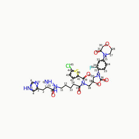 N[C@@H](Cc1c[nH]cn1)C(=O)NCCCCC(=O)N(C[C@H]1CN(c2ccc(N3CCOCC3=O)cc2F)C(=O)O1)C(=O)c1ccc(Cl)s1